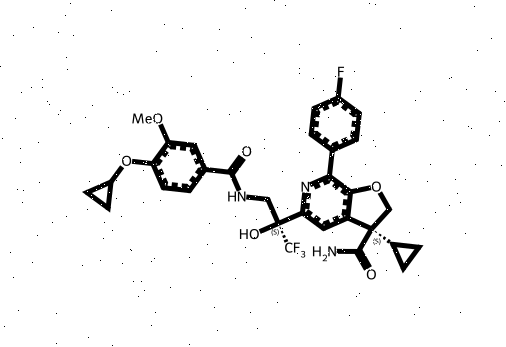 COc1cc(C(=O)NC[C@](O)(c2cc3c(c(-c4ccc(F)cc4)n2)OC[C@]3(C(N)=O)C2CC2)C(F)(F)F)ccc1OC1CC1